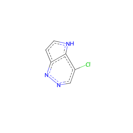 Clc1cnnc2cc[nH]c12